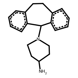 NC1CCN(C2c3ccccc3CCc3ccccc32)CC1